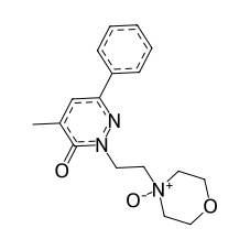 Cc1cc(-c2ccccc2)nn(CC[N+]2([O-])CCOCC2)c1=O